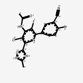 CC(=O)Nc1c(F)c(-c2ccc(Br)c(C#N)c2)nc(-c2nc(C)no2)c1Cl